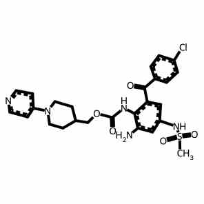 CS(=O)(=O)Nc1cc(N)c(NC(=O)OCC2CCN(c3ccncc3)CC2)c(C(=O)c2ccc(Cl)cc2)c1